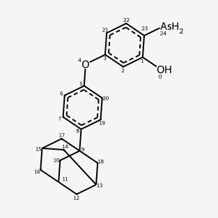 Oc1cc(Oc2ccc(C34CC5CC(CC(C5)C3)C4)cc2)ccc1[AsH2]